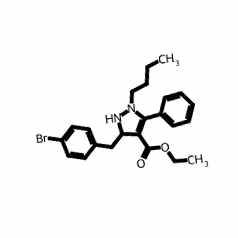 CCCCN1NC(Cc2ccc(Br)cc2)C(C(=O)OCC)=C1c1ccccc1